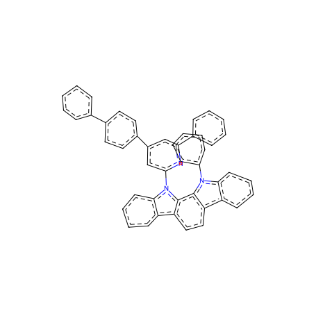 c1ccc(-c2ccc(-c3cc(-c4ccccc4)nc(-n4c5ccccc5c5ccc6c7ccccc7n(-c7ccccc7)c6c54)c3)cc2)cc1